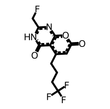 O=c1cc(CCCC(F)(F)F)c2c(=O)[nH]c(CF)nc2o1